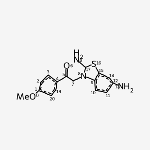 COc1ccc(C(=O)CN2c3ccc(N)cc3SC2N)cc1